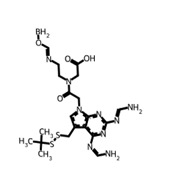 BOC=NCCN(CC(=O)O)C(=O)Cn1cc(CSSC(C)(C)C)c2c(/N=C\N)nc(/N=C/N)nc21